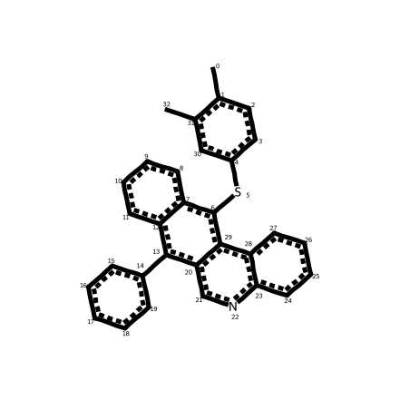 Cc1ccc(Sc2c3ccccc3c(-c3ccccc3)c3cnc4ccccc4c23)cc1C